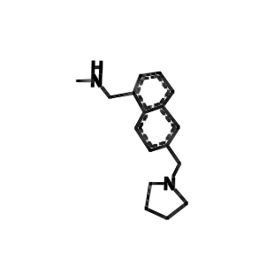 CNCc1cccc2cc(CN3CCCC3)ccc12